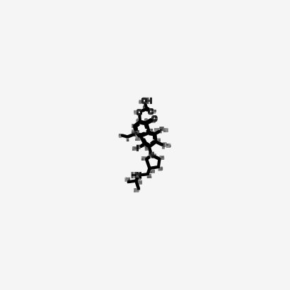 CCn1cc(OC(=O)O)c(=O)c2c(F)c(F)c(N3CCC(CNC(C)C)C3)c(F)c21